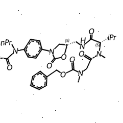 CCCN(C(=O)CC)c1ccc(N2C[C@H](CNC(=O)[C@H](C(C)C)N(C)C(=O)CN(C)C(=O)OCc3ccccc3)OC2=O)cc1